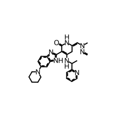 C=NN(C)/C=C1\CC(NC(C)c2ccccn2)=C(c2nc3ccc(N4CCCCC4)cc3[nH]2)C(=O)N1